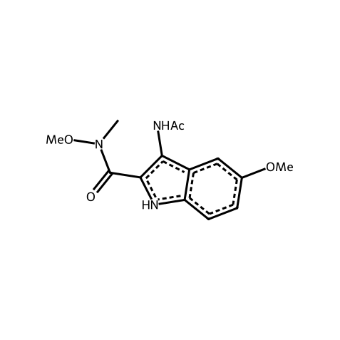 COc1ccc2[nH]c(C(=O)N(C)OC)c(NC(C)=O)c2c1